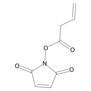 C=CCC(=O)ON1C(=O)C=CC1=O